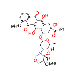 COc1cccc2c1C(=O)c1c(O)c3c(c(O)c1C2=O)C[C@@](O)(C(=O)C(C)C)C[C@@H]3O[C@H]1CC2[C@H](O[C@@H]3[C@@H](OC)COCN23)[C@H](C)O1